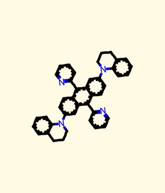 c1ccc(-c2c3ccc(N4CCCc5ccccc54)cc3c(-c3ccccn3)c3ccc(N4CCCc5ccccc54)cc23)nc1